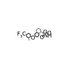 Cc1cc(C(F)(F)F)ccc1Oc1ccc2c(c1)CCC[C@H]2C1OC(=O)NC1=O